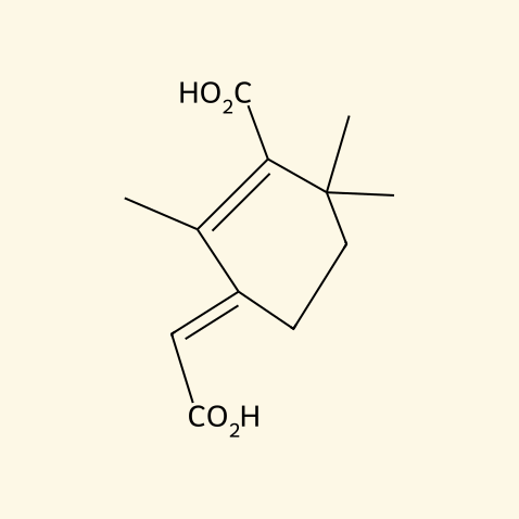 CC1=C(C(=O)O)C(C)(C)CC/C1=C\C(=O)O